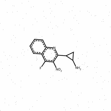 NC1CC1c1nc2ccccc2c(F)c1[N+](=O)[O-]